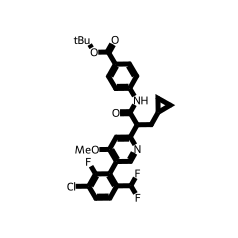 COc1cc(C(CC2CC2)C(=O)Nc2ccc(C(=O)OC(C)(C)C)cc2)ncc1-c1c(C(F)F)ccc(Cl)c1F